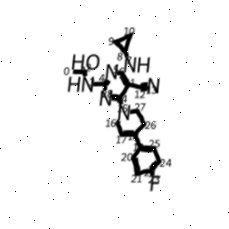 CC(O)Nc1nc(NC2CC2)c(C#N)c(N2CC=C(c3ccc(F)cc3)CC2)n1